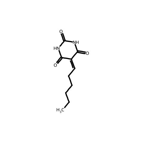 CCCCCC=C1C(=O)NC(=O)NC1=O